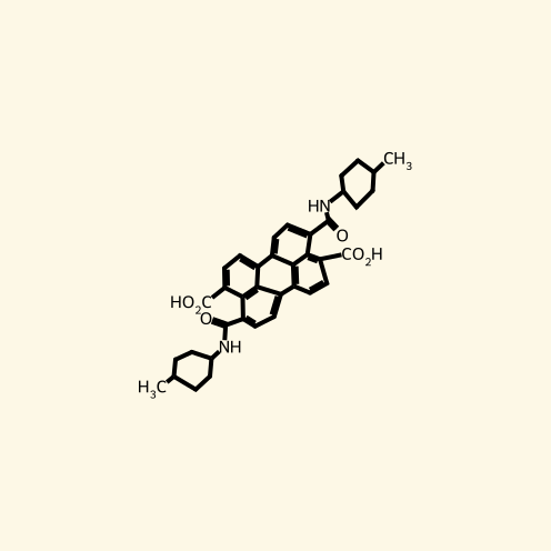 CC1CCC(NC(=O)c2ccc3c4ccc(C(=O)O)c5c(C(=O)NC6CCC(C)CC6)ccc(c6ccc(C(=O)O)c2c63)c54)CC1